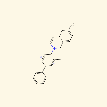 C=CN(C/C=C\C(/C=C/C)c1ccccc1)CC1=CC=C(CC)CC1